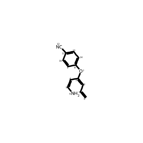 C=C/C=C(\C=C/N)Oc1ccc(C#N)cc1